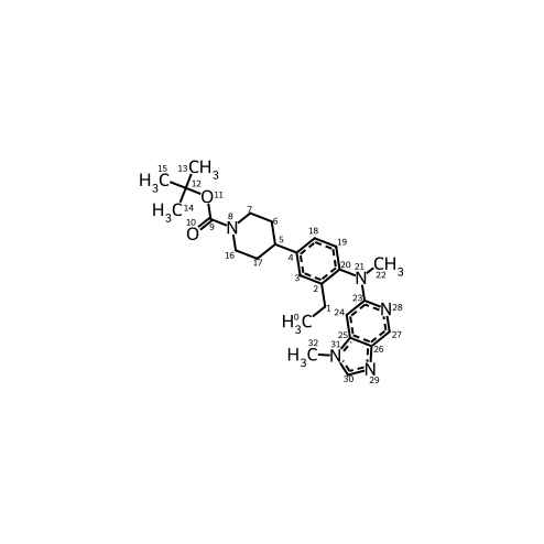 CCc1cc(C2CCN(C(=O)OC(C)(C)C)CC2)ccc1N(C)c1cc2c(cn1)ncn2C